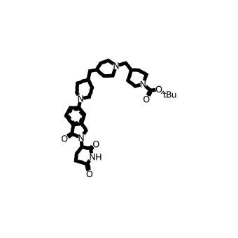 CC(C)(C)OC(=O)N1CCC(CN2CCC(CC3CCN(c4ccc5c(c4)CN(C4CCC(=O)NC4=O)C5=O)CC3)CC2)CC1